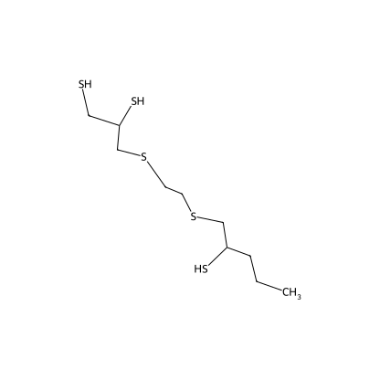 CCCC(S)CSCCSCC(S)CS